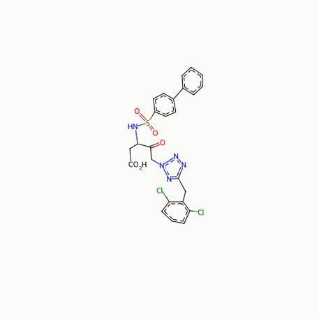 O=C(O)CC(NS(=O)(=O)c1ccc(-c2ccccc2)cc1)C(=O)Cn1nnc(Cc2c(Cl)cccc2Cl)n1